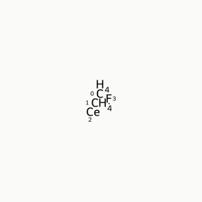 C.C.[Ce].[F]